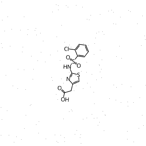 O=C(O)Cc1csc(NS(=O)(=O)c2ccccc2Cl)n1